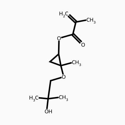 C=C(C)C(=O)OC1CC1(C)OCC(C)(C)O